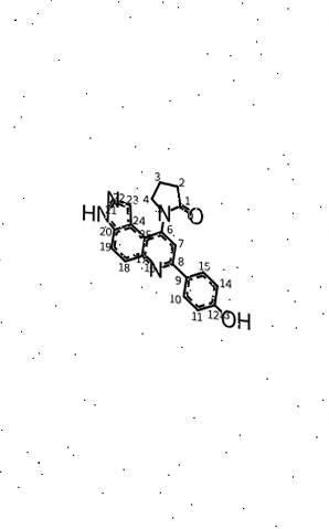 O=C1CCCN1c1cc(-c2ccc(O)cc2)nc2ccc3[nH]ncc3c12